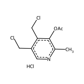 CC(=O)Oc1c(C)ncc(CCl)c1CCl.Cl